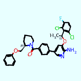 C[C@H](Oc1cc(-c2ccc(C(=O)N3CCCC[C@@H]3COc3ccccc3)cc2)cnc1N)c1c(Cl)ccc(F)c1Cl